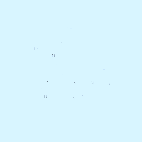 CCn1cc(C)nc1-c1ccc(C(C)N2C(=O)CCn3nc(-c4c(OC)ncnc4C4CC4)nc32)cc1